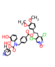 COc1ccc(C(Cc2c(Cl)c[n+]([O-])cc2Cl)OC(=O)c2ccc(CN(C(=O)O[C@H]3CN4CCC3CC4)c3cccc(O)c3O)cc2)cc1OC